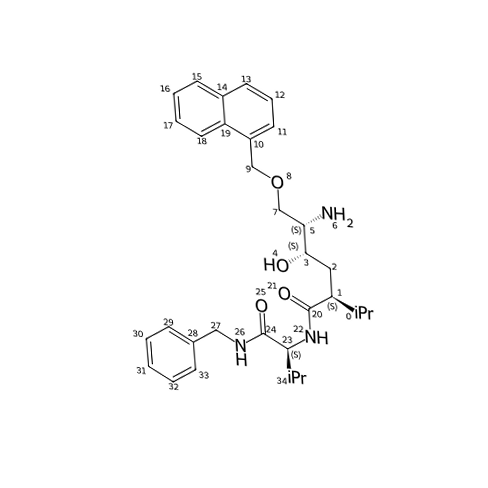 CC(C)[C@H](C[C@H](O)[C@@H](N)COCc1cccc2ccccc12)C(=O)N[C@H](C(=O)NCc1ccccc1)C(C)C